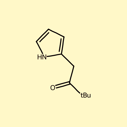 CC(C)(C)C(=O)Cc1ccc[nH]1